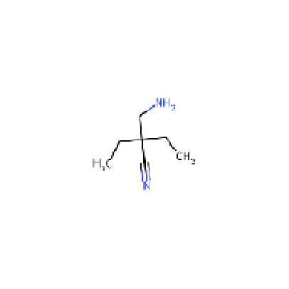 CCC(C#N)(CC)CN